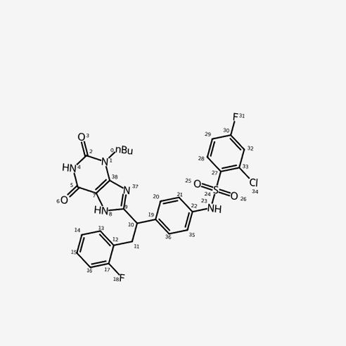 CCCCn1c(=O)[nH]c(=O)c2[nH]c(C(Cc3ccccc3F)c3ccc(NS(=O)(=O)c4ccc(F)cc4Cl)cc3)nc21